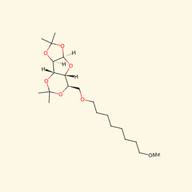 COCCCCCCCCOC[C@H]1OC(C)(C)O[C@@H]2[C@H]3OC(C)(C)O[C@H]3O[C@@H]21